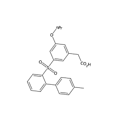 CCCOc1cc(CC(=O)O)cc(S(=O)(=O)c2ccccc2-c2ccc(C)cc2)c1